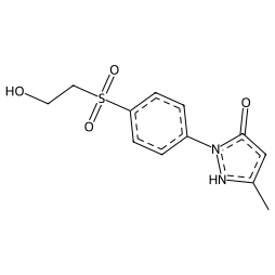 Cc1cc(=O)n(-c2ccc(S(=O)(=O)CCO)cc2)[nH]1